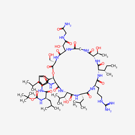 CC[C@H](C)[C@@H]1NC(=O)[C@@H](CCCNC(=N)N)NC(=O)[C@H](CC(C)C)NC(=O)[C@H]([C@H](O)C(C)C)NC(=O)[C@@H](NC(=O)[C@H](CC(C)C)NC(=O)[C@@H](CC(C)C)NC(=O)OC(C)(C)C)[C@@H](c2ccccc2)OC(=O)[C@H](CO)NC(=O)[C@H]([C@H](O)C(=O)NCC(N)=O)NC(=O)CNC(=O)[C@H]([C@H](C)O)NC1=O